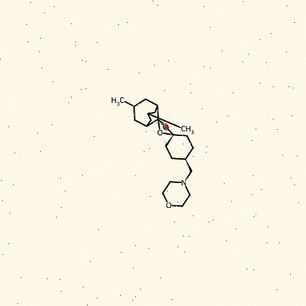 CC1CC2CC(C)CC(C1)[C@]21OO[C@@]2(CC[C@H](CN3CCOCC3)CC2)O1